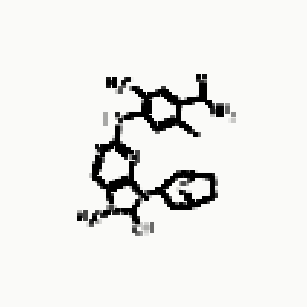 Cc1cc(C(N)=O)c(F)cc1Nc1ncc2c(n1)N(C1CC3CCC(C1)O3)C(O)N2C